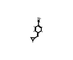 N#CC1=CCC(=CC2CC2)C=C1